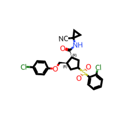 N#CC1(NC(=O)[C@@H]2CC(S(=O)(=O)c3ccccc3Cl)C[C@H]2COc2ccc(Cl)cc2)CC1